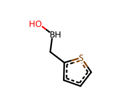 OBCc1cccs1